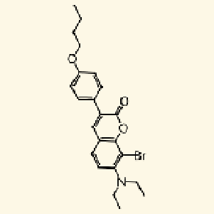 CCCCOc1ccc(-c2cc3ccc(N(CC)CC)c(Br)c3oc2=O)cc1